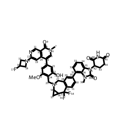 COc1cc(-c2cn(C)c(=O)c3cnc(N4CC(F)C4)cc23)cc(O)c1CN1Cc2cc(-c3cccc4c3n(C)c(=O)n4C3CCC(=O)NC3=O)ccc2C(F)(F)C2CC21